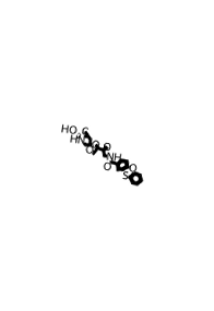 O=C(NCC(=O)C1COC2(CNC(C(=O)O)C2)O1)c1ccc2c(c1)Sc1ccccc1O2